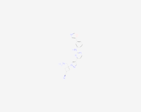 N#CC1CC(CN)(n2cc(-c3ccnc(Nc4cccc(-c5cnco5)c4)n3)cn2)C1